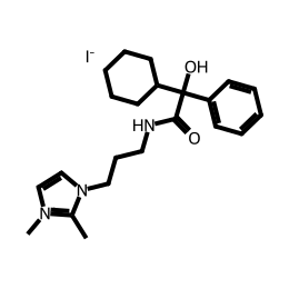 Cc1n(CCCNC(=O)C(O)(c2ccccc2)C2CCCCC2)cc[n+]1C.[I-]